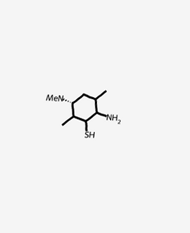 CN[C@@H]1CC(C)C(N)C(S)C1C